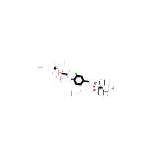 COc1cc(NCC(=O)OC(C)(C)C)c(Cl)cc1CO[Si](C)(C)C(C)(C)C